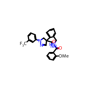 COc1ccccc1C(=O)NCc1ccccc1C1(C(N)=O)C=NN(c2cccc(C(F)(F)F)c2)C1